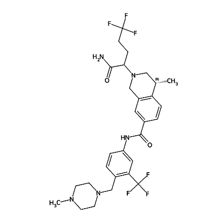 C[C@H]1CN(C(CCC(F)(F)F)C(N)=O)Cc2cc(C(=O)Nc3ccc(CN4CCN(C)CC4)c(C(F)(F)F)c3)ccc21